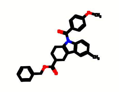 COc1ccc(C(=O)n2c3c(c4cc(C)ccc42)CC(C(=O)OCc2ccccc2)CC3)cc1